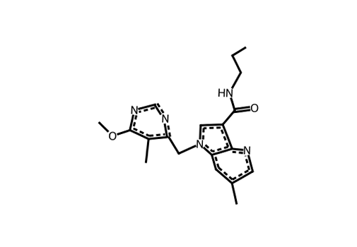 CCCNC(=O)c1cn(Cc2ncnc(OC)c2C)c2cc(C)cnc12